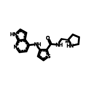 O=C(NC[C@H]1CCCN1)c1sccc1Nc1ccnc2[nH]ccc12